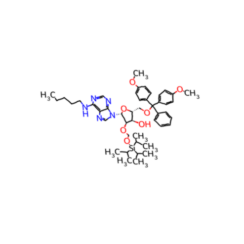 CCCCCNc1ncnc2c1ncn2[C@@H]1O[C@H](COC(c2ccccc2)(c2ccc(OC)cc2)c2ccc(OC)cc2)[C@@H](O)[C@H]1OCO[Si](C(C)C)(C(C)C)C(C)C